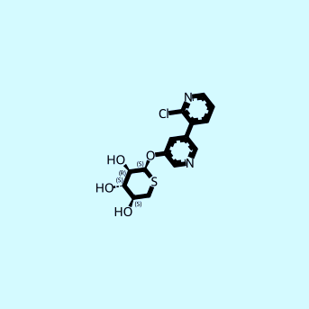 O[C@@H]1[C@@H](O)[C@@H](Oc2cncc(-c3cccnc3Cl)c2)SC[C@H]1O